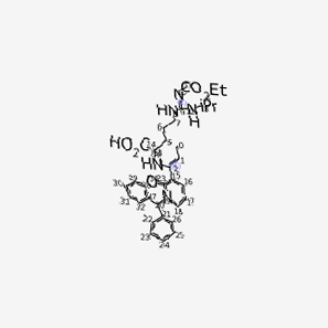 C/C=C(\N[C@@H](CCCN/C(=N/C(=O)OCC)NC(C)C)C(=O)O)c1cccn(C(c2ccccc2)c2ccccc2)c1=O